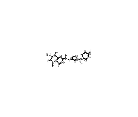 CC[C@H]1C(=O)Nc2c(C)nc(NCc3cnn([C@H](C)c4ccc(F)cc4)c3)nc2N1C